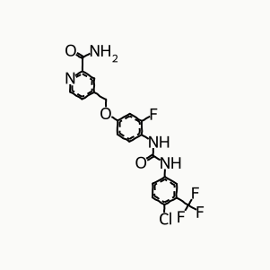 NC(=O)c1cc(COc2ccc(NC(=O)Nc3ccc(Cl)c(C(F)(F)F)c3)c(F)c2)ccn1